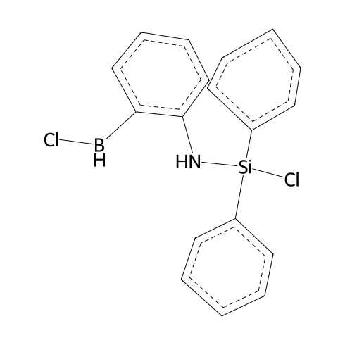 ClBc1ccccc1N[Si](Cl)(c1ccccc1)c1ccccc1